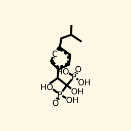 CC(C)Cc1ccc(C(C)C(O)(P(=O)(O)O)P(=O)(O)O)cc1